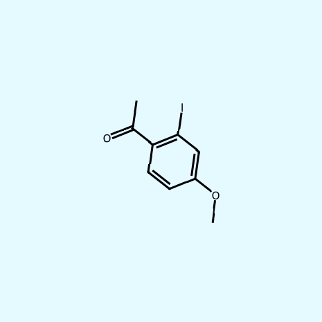 COc1ccc(C(C)=O)c(I)c1